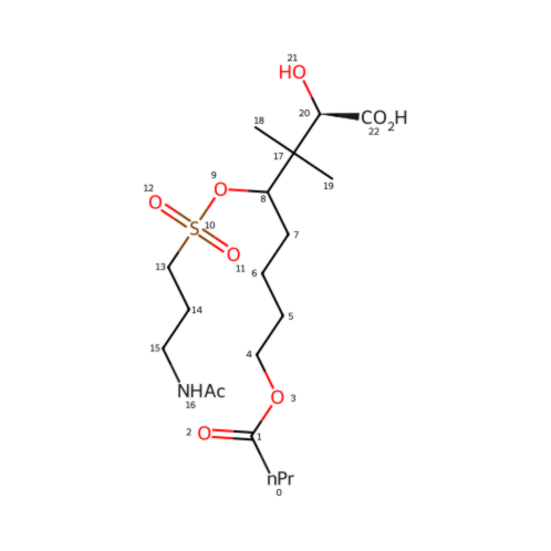 CCCC(=O)OCCCCC(OS(=O)(=O)CCCNC(C)=O)C(C)(C)[C@@H](O)C(=O)O